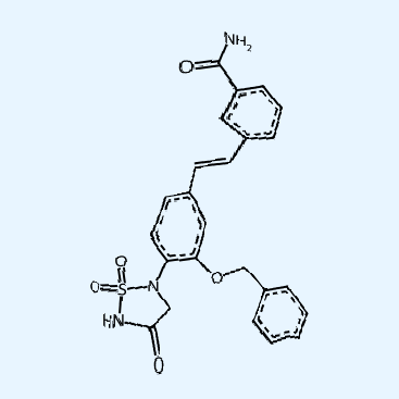 NC(=O)c1cccc(C=Cc2ccc(N3CC(=O)NS3(=O)=O)c(OCc3ccccc3)c2)c1